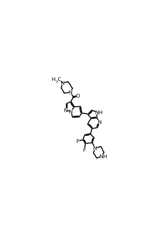 CN1CCN(C(=O)c2cnn3ccc(-c4c[nH]c5ncc(-c6cc(F)c(F)c(N7CCNCC7)c6)cc45)cc23)CC1